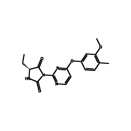 CC[C@H]1NC(=O)N(c2nccc(Oc3ccc(C)c(OC)c3)n2)C1=O